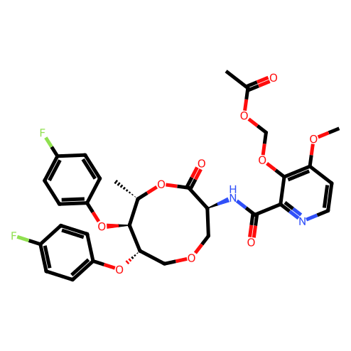 COc1ccnc(C(=O)N[C@H]2COC[C@H](Oc3ccc(F)cc3)[C@@H](Oc3ccc(F)cc3)[C@H](C)OC2=O)c1OCOC(C)=O